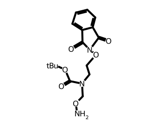 CC(C)(C)OC(=O)N(CCON1C(=O)c2ccccc2C1=O)CON